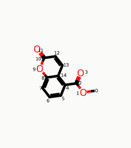 COC(=O)c1cccc2oc(=O)ccc12